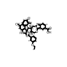 CCOc1cccc(CN2[C@H]3COc4c5cc(C(=O)O)ccc5nn4C[C@H]3[C@H](c3cccc(Cl)c3F)[C@]23C(=O)Nc2cc(Cl)ccc23)c1